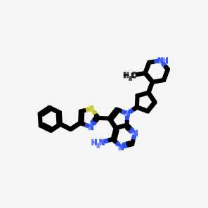 CC1CNCCC1C1CCC(n2cc(-c3nc(Cc4ccccc4)cs3)c3c(N)ncnc32)C1